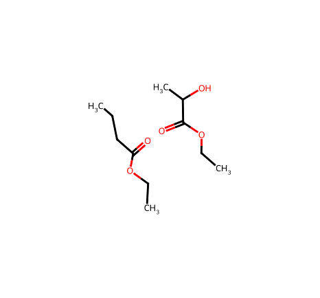 CCCC(=O)OCC.CCOC(=O)C(C)O